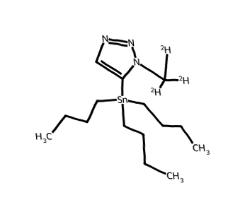 [2H]C([2H])([2H])n1nnc[c]1[Sn]([CH2]CCC)([CH2]CCC)[CH2]CCC